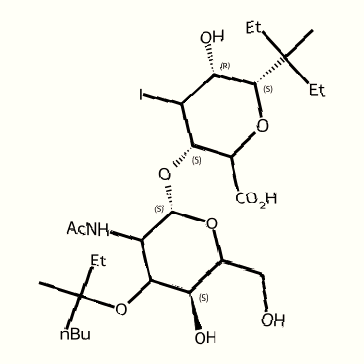 CCCCC(C)(CC)OC1C(NC(C)=O)[C@H](O[C@H]2C(C(=O)O)O[C@@H](C(C)(CC)CC)[C@@H](O)C2I)OC(CO)[C@H]1O